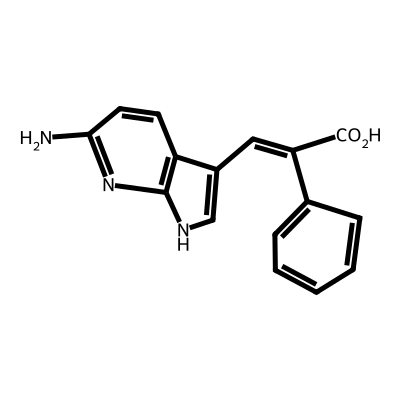 Nc1ccc2c(/C=C(/C(=O)O)c3ccccc3)c[nH]c2n1